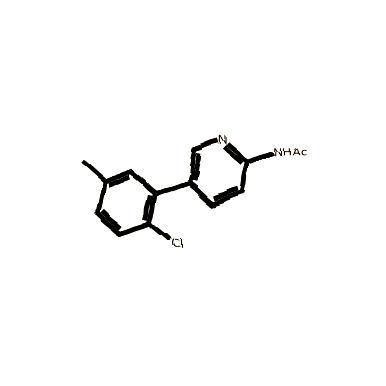 CC(=O)Nc1ccc(-c2cc(C)ccc2Cl)cn1